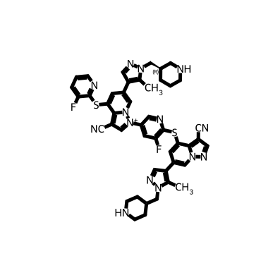 Cc1c(-c2cc(Sc3ncc(-[n+]4cc(C#N)c5c(Sc6ncccc6F)cc(-c6cnn(C[C@@H]7CCCNC7)c6C)cn54)cc3F)c3c(C#N)cnn3c2)cnn1CC1CCNCC1